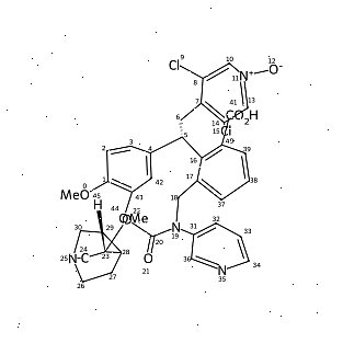 COc1ccc([C@H](Cc2c(Cl)c[n+]([O-])cc2Cl)c2c(CN(C(=O)O[C@H]3CN4CCC3CC4)c3cccnc3)cccc2C(=O)O)cc1OC